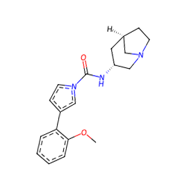 COc1ccccc1-c1ccn(C(=O)N[C@@H]2C[C@H]3CCN(C3)C2)c1